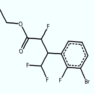 CCOC(=O)C(F)C(c1cccc(Br)c1F)C(F)F